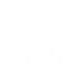 CC(C)[Si](C(C)C)(C(C)C)n1cc(C(O)c2ccc(NS(=O)(=O)c3ccc(C(F)(F)F)cc3)nc2)c2cccnc21